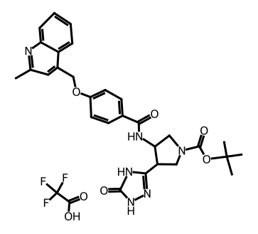 Cc1cc(COc2ccc(C(=O)NC3CN(C(=O)OC(C)(C)C)CC3c3n[nH]c(=O)[nH]3)cc2)c2ccccc2n1.O=C(O)C(F)(F)F